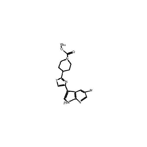 CC(C)(C)OC(=O)N1CCC(c2nc(-c3c[nH]c4ncc(Br)cc34)cs2)CC1